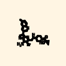 Cc1ccc2ncc(-c3cnn4c(N)c(Br)c(CNC5CCN(C(=O)C6(O)CC6)CC5)nc34)cc2c1